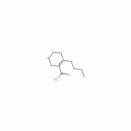 CCCCC1=C(C(=O)O)CCCC1